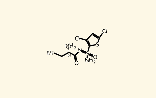 CC(C)C[C@H](N)C(=O)N=S(N)(=O)c1sc(Cl)cc1Cl